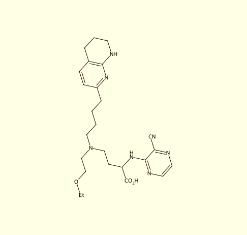 CCOCCN(CCCCc1ccc2c(n1)NCCC2)CCC(Nc1nccnc1C#N)C(=O)O